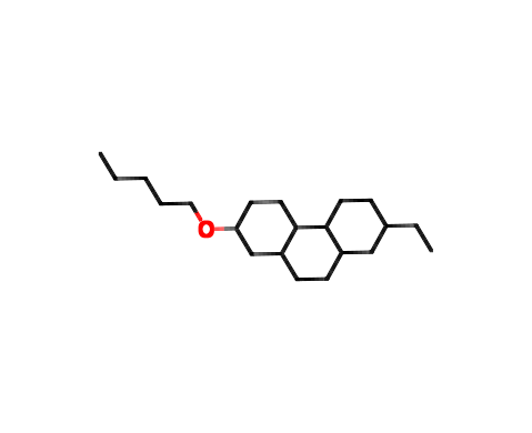 CCCCCOC1CCC2C(CCC3CC(CC)CCC32)C1